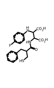 O=C(NC(C(=O)O)C(Nc1ccc(F)cc1)C(=O)O)C(CS)Cc1ccccc1